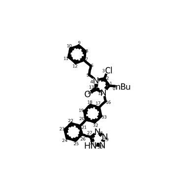 CCCCc1c(Cl)n(CCc2ccccc2)c(=O)n1Cc1ccc(-c2ccccc2-c2nnn[nH]2)cc1